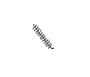 C=CC(F)(F)C(F)(F)C(F)(F)C(F)(F)C(F)(F)C(F)(F)C(F)(F)C(F)(F)C(F)(F)C(F)(F)C(F)(F)C(F)(F)F